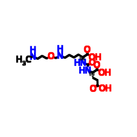 CNCCCOCNCCCC[C@H](NC(=O)N[C@@H](CCC(=O)O)C(=O)O)C(=O)O